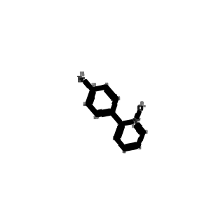 [O-][n+]1ccccc1-c1ccc(Br)cc1